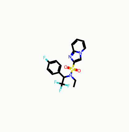 CCN(C(c1ccc(F)cc1)C(F)(F)F)S(=O)(=O)c1cn2ccccc2n1